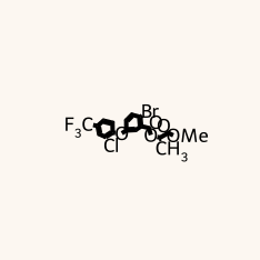 COC(=O)[C@@H](C)OC(=O)c1cc(Oc2ccc(C(F)(F)F)cc2Cl)ccc1Br